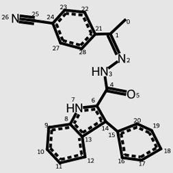 CC(=NNC(=O)c1[nH]c2ccccc2c1-c1ccccc1)c1ccc(C#N)cc1